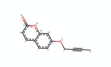 CC#CCOc1ccc2ccc(=O)oc2c1